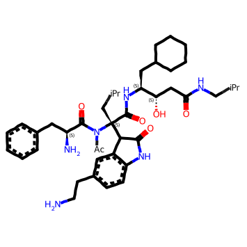 CC(=O)N(C(=O)[C@@H](N)Cc1ccccc1)[C@](CC(C)C)(C(=O)N[C@@H](CC1CCCCC1)[C@@H](O)CC(=O)NCC(C)C)C1C(=O)Nc2ccc(CCN)cc21